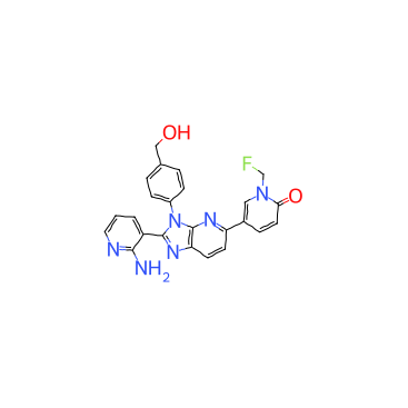 Nc1ncccc1-c1nc2ccc(-c3ccc(=O)n(CF)c3)nc2n1-c1ccc(CO)cc1